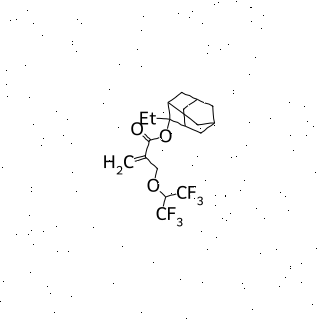 C=C(COC(C(F)(F)F)C(F)(F)F)C(=O)OC1(CC)C2CC3CC(C2)CC1C3